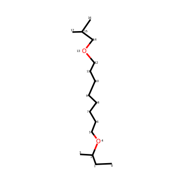 CCC(C)OCCC[CH]CCCCOCC(C)C